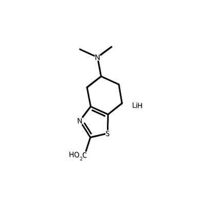 CN(C)C1CCc2sc(C(=O)O)nc2C1.[LiH]